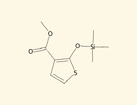 COC(=O)c1ccsc1O[Si](C)(C)C